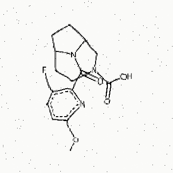 COc1ccc(F)c(C(=O)N2C3CCC2CN(C(=O)O)CC3)n1